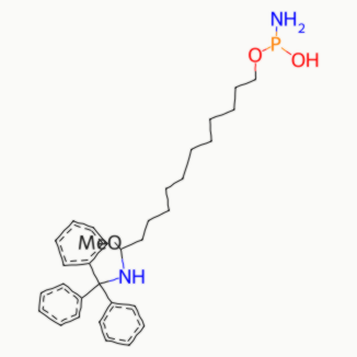 COC(CCCCCCCCCCCOP(N)O)NC(c1ccccc1)(c1ccccc1)c1ccccc1